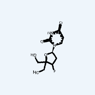 O=c1ccn([C@H]2CC(F)C(CO)(CO)O2)c(=O)[nH]1